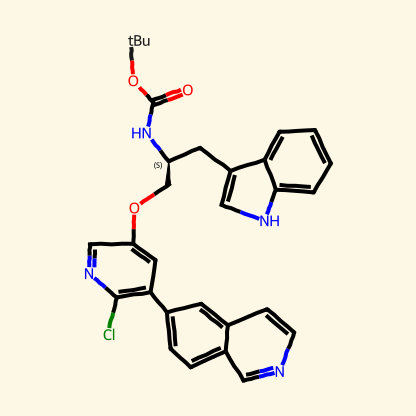 CC(C)(C)OC(=O)N[C@H](COc1cnc(Cl)c(-c2ccc3cnccc3c2)c1)Cc1c[nH]c2ccccc12